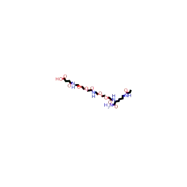 CCC(=O)NCCCCC(NC(=O)COCCOCCNC(=O)COCCOCCNC(=O)CCC(=O)O)C(N)=O